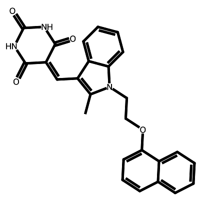 Cc1c(C=C2C(=O)NC(=O)NC2=O)c2ccccc2n1CCOc1cccc2ccccc12